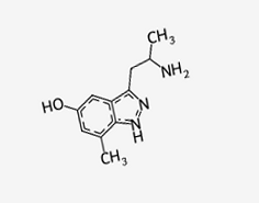 Cc1cc(O)cc2c(CC(C)N)n[nH]c12